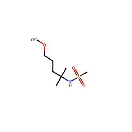 CCCOCCCC(C)(C)NS(C)(=O)=O